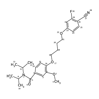 COc1cc(C(=O)N(C(C)C)C(C)C)ccc1OCCCCOc1ccc(C#N)c(F)c1